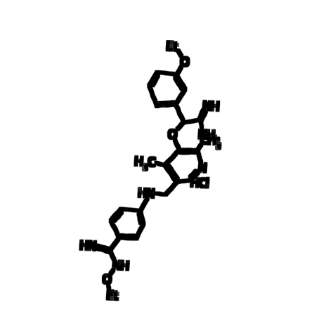 CCONC(=N)c1ccc(NCc2cnc(C)c(OC(C(=N)N)c3cccc(OCC)c3)c2C)cc1.Cl